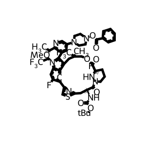 CO[C@@H](C)c1ncc(N2CCN(OC(=O)c3ccccc3)CC2)cc1-c1c2c3cc(c(F)cc3n1CC(F)(F)F)-c1csc(n1)C[C@H](NC(=O)OC(C)(C)C)C(=O)N1CCC[C@H](N1)C(=O)OCC(C)(C)C2